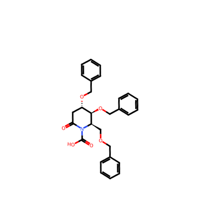 O=C(O)N1C(=O)C[C@H](OCc2ccccc2)[C@@H](OCc2ccccc2)[C@H]1COCc1ccccc1